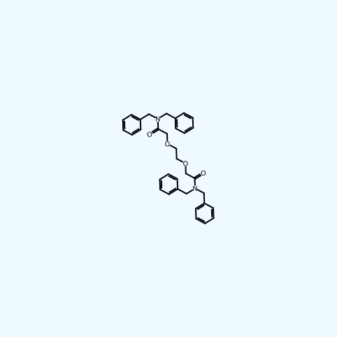 O=C(COCCOCC(=O)N(Cc1ccccc1)Cc1ccccc1)N(Cc1ccccc1)Cc1ccccc1